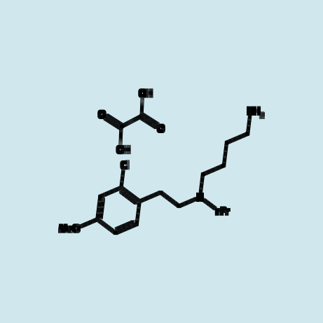 CCCN(CCCCN)CCc1ccc(OC)cc1Cl.O=C(O)C(=O)O